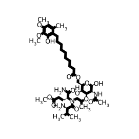 COC(=O)CC[C@H](C(N)=O)N(CC(C)O[C@H]1[C@H](O)[C@@H](COC(=O)CCCCCCCCCc2c(C)cc(OC)c(OC)c2O)O[C@H](O)[C@@H]1NC(C)=O)C(=O)[C@@H](N)C(C)C